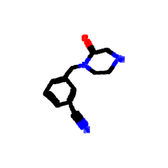 N#Cc1cccc(CN2CCNCC2=O)c1